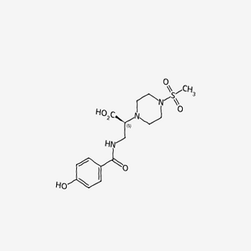 CS(=O)(=O)N1CCN([C@@H](CNC(=O)c2ccc(O)cc2)C(=O)O)CC1